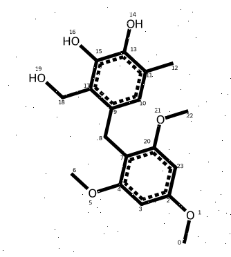 COc1cc(OC)c(Cc2cc(C)c(O)c(O)c2CO)c(OC)c1